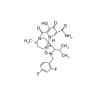 CC(C)C1C[C@]2(CC[C@H](C)N3C[C@H]2n2cc(C(N)=O)c(=O)c(O)c2C3=O)ON1Cc1ccc(F)cc1F